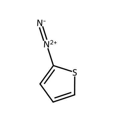 [N-]=[N+2]c1cccs1